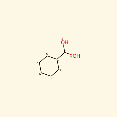 OC(O)C1CCCCC1